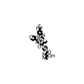 CCc1c(N2CCN(C(=O)c3ncnc(C)c3O)CC2)c(=O)n2nc(C3=CCOCC3)nc2n1Cc1nc2cc(C(F)(F)F)ccc2[nH]1